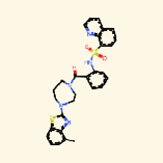 Cc1cccc2sc(N3CCCN(C(=O)c4ccccc4NS(=O)(=O)c4cccc5cccnc45)CC3)nc12